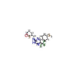 CSc1ccc(-c2nc(NCC3CCCOS3)cnc2C(F)(F)F)cc1